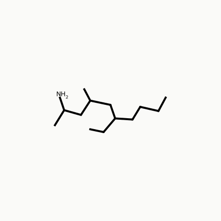 CCCCC(CC)CC(C)CC(C)N